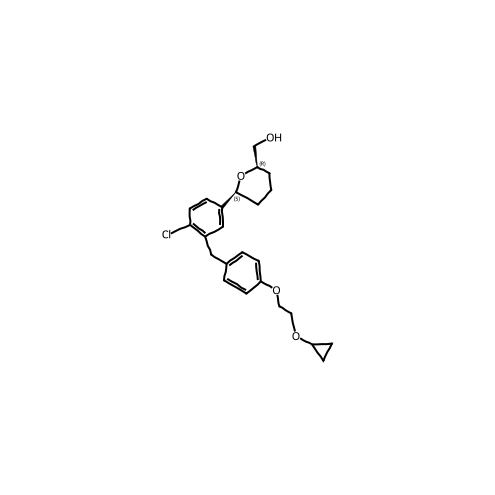 OC[C@H]1CCC[C@@H](c2ccc(Cl)c(Cc3ccc(OCCOC4CC4)cc3)c2)O1